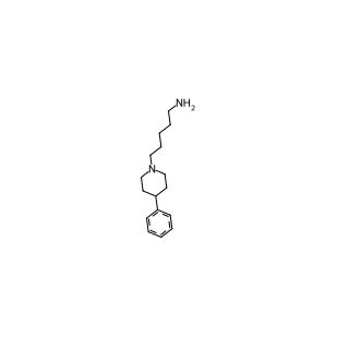 NCCCCCN1CCC(c2ccccc2)CC1